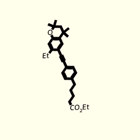 CCOC(=O)CCCCc1ccc(C#Cc2cc3c(cc2CC)OC(C)(C)CC3(C)C)cc1